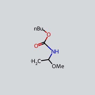 [CH2]C(NC(=O)OCCCC)OC